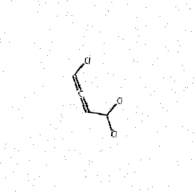 ClC=C=CC(Cl)Cl